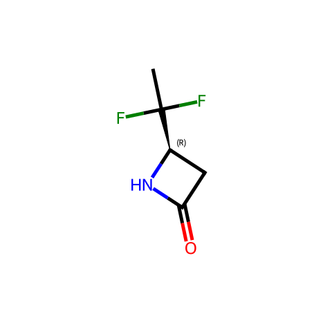 CC(F)(F)[C@H]1CC(=O)N1